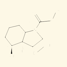 CC(C)(C)OC(=O)N1CC[C@@H]2[C@H]1CCC[C@@H]2O.CCO